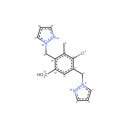 Cc1c(Cl)c(Cn2cccn2)cc(C(=O)O)c1Cn1cccn1